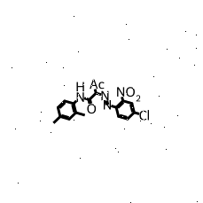 CC(=O)C(N=Nc1ccc(Cl)cc1[N+](=O)[O-])C(=O)Nc1ccc(C)cc1C